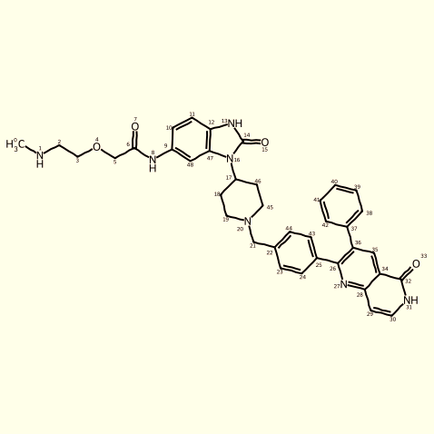 CNCCOCC(=O)Nc1ccc2[nH]c(=O)n(C3CCN(Cc4ccc(-c5nc6cc[nH]c(=O)c6cc5-c5ccccc5)cc4)CC3)c2c1